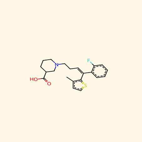 Cc1ccsc1/C(=C\CCN1CCCC(C(=O)O)C1)c1ccccc1F